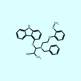 COc1ccccc1OCCN(Cc1ccccc1)C(Oc1cccc2[nH]c3ccccc3c12)C(C)O